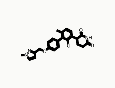 Cc1ccc(C2CCC(=O)NC2=O)c(Cl)c1-c1ccc(OCc2ccn(C)n2)cc1